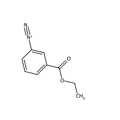 CCOC(=O)c1cccc([N+]#N)c1